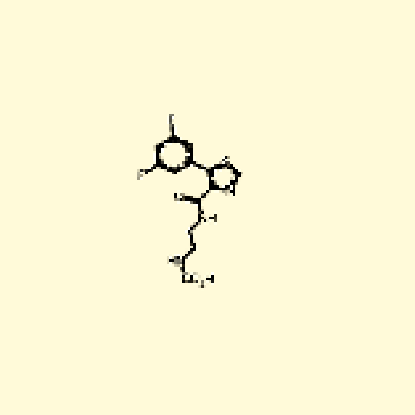 O=C(O)NCCNC(=O)c1ncsc1-c1cc(F)cc(F)c1